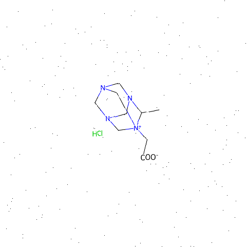 CC1N2CN3CN(C2)C[N+]1(CC(=O)[O-])C3.Cl